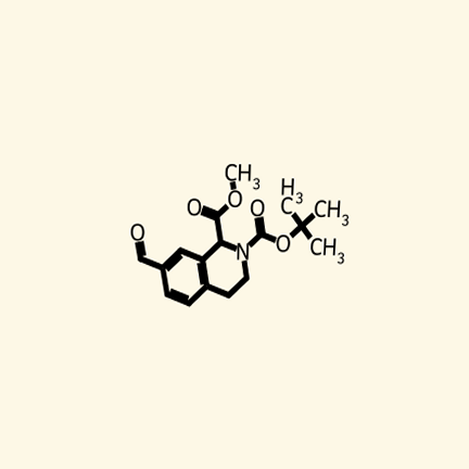 COC(=O)C1c2cc(C=O)ccc2CCN1C(=O)OC(C)(C)C